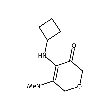 CNC1=C(NC2CCC2)C(=O)COC1